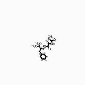 CC(C)C(CNC(=O)c1nn(C)c(=O)[nH]1)Cc1ccccc1